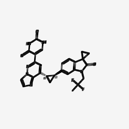 CC(F)(F)CN1C(=O)C2(CC2)c2ccc([C@H]3C[C@@H]3c3cc(-c4c[nH]c(=O)[nH]c4=O)nn4ccnc34)cc21